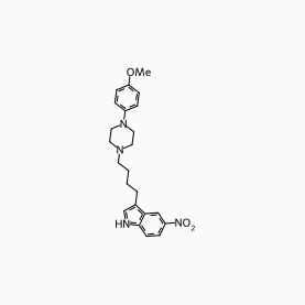 COc1ccc(N2CCN(CCCCc3c[nH]c4ccc([N+](=O)[O-])cc34)CC2)cc1